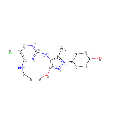 Cc1c2c(nn1C1CCC(O)CC1)OCCCNc1nc(ncc1Cl)N2